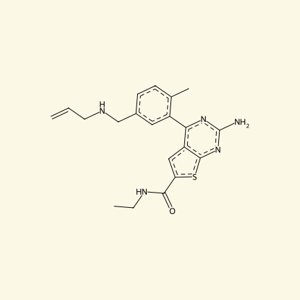 C=CCNCc1ccc(C)c(-c2nc(N)nc3sc(C(=O)NCC)cc23)c1